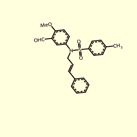 COc1ccc(N(CC=Cc2ccccc2)S(=O)(=O)c2ccc(C)cc2)cc1C=O